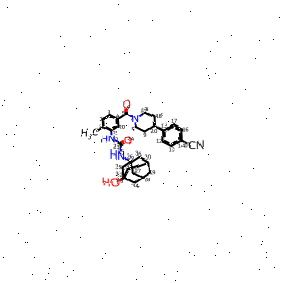 Cc1ccc(C(=O)N2CCC(c3ccc(C#N)cc3)CC2)cc1NC(=O)NC12CC3CC(CC(O)(C3)C1)C2